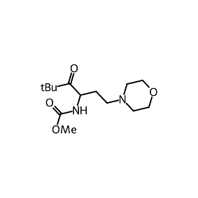 COC(=O)NC(CCN1CCOCC1)C(=O)C(C)(C)C